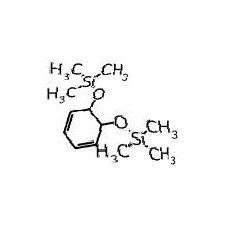 C[Si](C)(C)OC1C=CC=CC1O[Si](C)(C)C